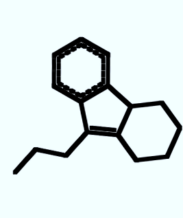 CCCC1=C2CCCCC2c2ccccc21